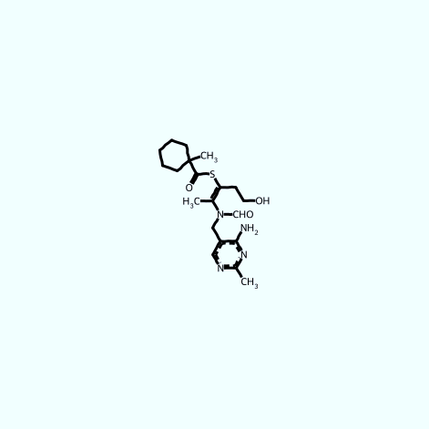 CC(=C(CCO)SC(=O)C1(C)CCCCC1)N(C=O)Cc1cnc(C)nc1N